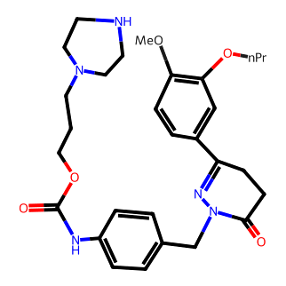 CCCOc1cc(C2=NN(Cc3ccc(NC(=O)OCCCN4CCNCC4)cc3)C(=O)CC2)ccc1OC